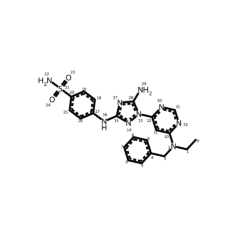 CCN(Cc1ccccc1)c1cc(-n2nc(Nc3ccc(S(N)(=O)=O)cc3)nc2N)ncn1